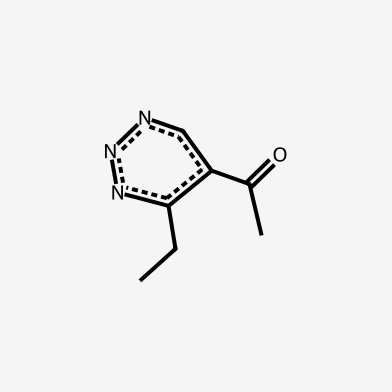 CCc1nnncc1C(C)=O